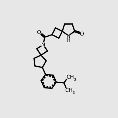 CC(C)c1cccc(C2CCC3(C2)CN(C(=O)C2CC4(CCC(=O)N4)C2)C3)c1